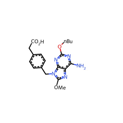 CCCCOc1nc(N)c2nc(OC)n(Cc3ccc(CC(=O)O)cc3)c2n1